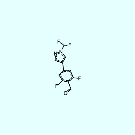 O=Cc1c(F)cc(-c2cnn(C(F)F)c2)cc1F